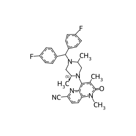 Cc1c(N2CC(C)N(C(c3ccc(F)cc3)c3ccc(F)cc3)C[C@@H]2C)c2nc(C#N)ccc2n(C)c1=O